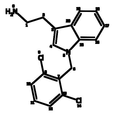 NCCc1cn(Cc2c(Cl)cccc2Cl)c2ccccc12